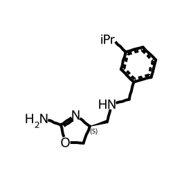 CC(C)c1cccc(CNC[C@H]2COC(N)=N2)c1